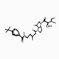 CCC(C)C(O)C(=O)N1CC(=O)C2C1CCN2C(=O)CC(C)CCNC(=O)c1ccc(C(C)(C)C)cc1